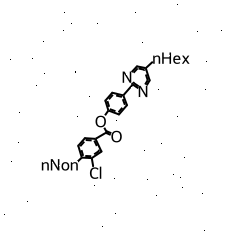 CCCCCCCCCc1ccc(C(=O)Oc2ccc(-c3ncc(CCCCCC)cn3)cc2)cc1Cl